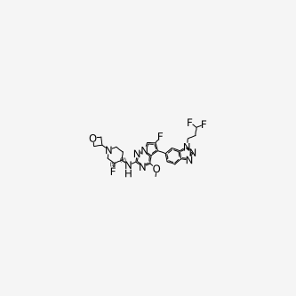 COc1nc(N[C@@H]2CCN(C3COC3)C[C@@H]2F)nn2cc(F)c(-c3ccc4nnn(CCC(F)F)c4c3)c12